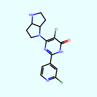 O=c1[nH]c(-c2ccnc(F)c2)nc(N2CCC3NCCC32)c1Cl